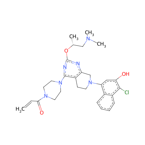 C=CC(=O)N1CCN(c2nc(O[C@H](C)CN(C)C)nc3c2CCN(c2cc(O)c(Cl)c4ccccc24)C3)CC1